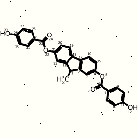 CC1c2cc(OC(=O)c3ccc(O)cc3)ccc2-c2ccc(OC(=O)c3ccc(O)cc3)cc21